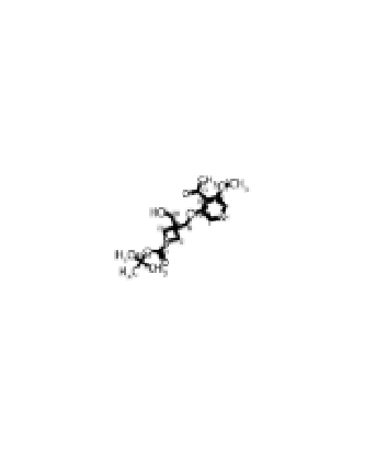 COc1cncc(OCC2(CO)CN(C(=O)OC(C)(C)C)C2)c1C(C)=O